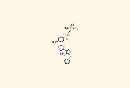 Cc1ccc(S(=O)(=O)NCCC(C)(C)O)cc1-c1cnc(N)c(-c2cnn(Cc3ccccc3)c2)n1